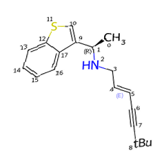 C[C@@H](NC/C=C/C#CC(C)(C)C)c1csc2ccccc12